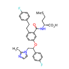 CSCC[C@H](NC(=O)c1cc(OC(Cn2ccnc2C)c2ccc(F)cc2)ccc1CCc1ccc(F)cc1)C(=O)O